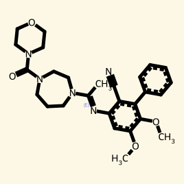 COc1cc(/N=C(\C)N2CCCN(C(=O)N3CCOCC3)CC2)c(C#N)c(-c2ccccc2)c1OC